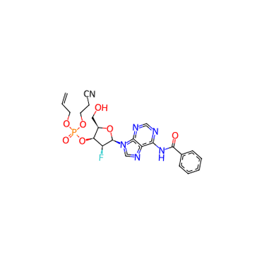 C=CCOP(=O)(OCCC#N)O[C@@H]1[C@H](F)[C@H](n2cnc3c(NC(=O)c4ccccc4)ncnc32)O[C@@H]1CO